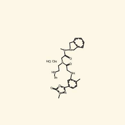 Cc1ccc(-c2nn(C)c(=O)o2)cc1NCC(=O)N(CCNC(C)C)CC(=O)N(C)N1Cc2ccccc2C1.Cl.Cl